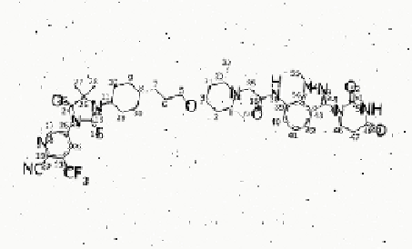 C[C@@H]1C[C@H](OCCC[C@H]2CC[C@H](N3C(=S)N(c4cnc(C#N)c(C(F)(F)F)c4)C(=O)C3(C)C)CC2)C[C@H](C)N1CC(=O)Nc1cccc2c(N3CCC(=O)NC3=O)nn(C)c12